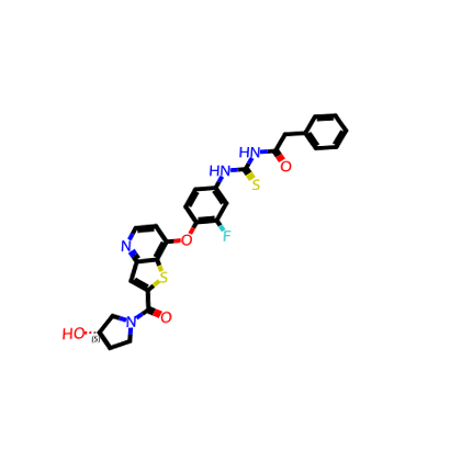 O=C(Cc1ccccc1)NC(=S)Nc1ccc(Oc2ccnc3cc(C(=O)N4CC[C@H](O)C4)sc23)c(F)c1